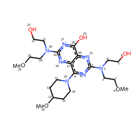 COCCN(CCO)c1nc(N2CCC(OC)CC2)c2nc(N(CCO)CCOC)nc(O)c2n1